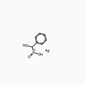 O=[PH](O)C(O)c1ccccc1.[Ag]